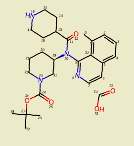 Cc1cccc2ccnc(N(C(=O)C3CCNCC3)[C@@H]3CCCN(C(=O)OC(C)(C)C)C3)c12.O=CO